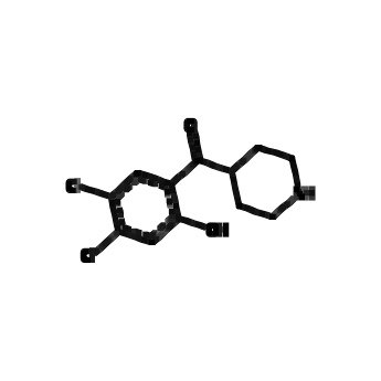 O=C(c1cc(Cl)c(Cl)cc1O)C1CCNCC1